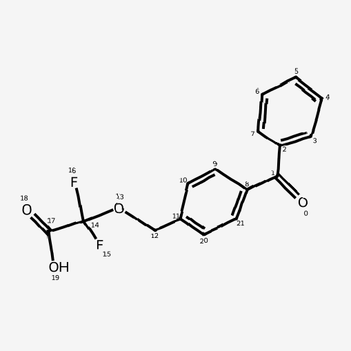 O=C(c1ccccc1)c1ccc(COC(F)(F)C(=O)O)cc1